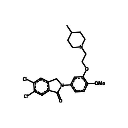 COc1ccc(N2Cc3cc(Cl)c(Cl)cc3C2=O)cc1OCCN1CCC(C)CC1